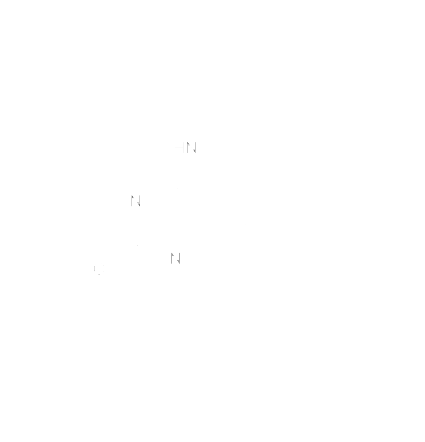 Cc1ccc(N2C(=O)N=C(NCc3ccccc3)C2c2ccccc2)cc1C